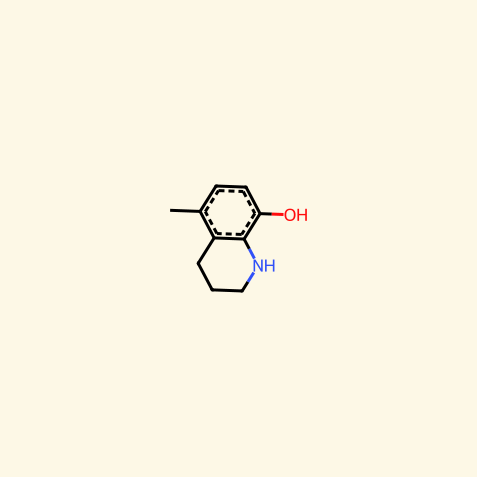 Cc1ccc(O)c2c1CCCN2